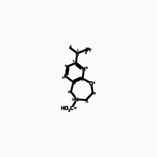 CC(C)N(C)c1cnc2c(n1)OCCN(C(=O)O)C2